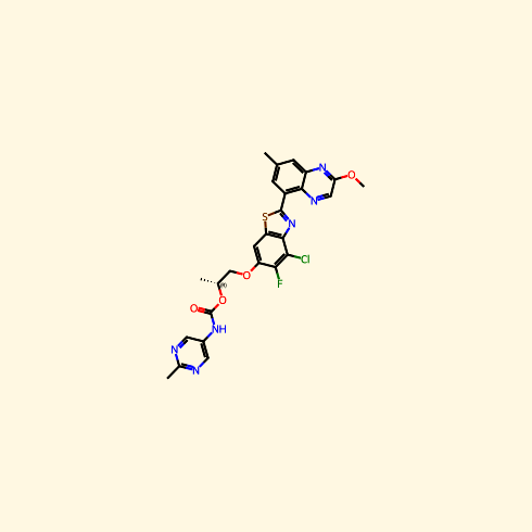 COc1cnc2c(-c3nc4c(Cl)c(F)c(OC[C@@H](C)OC(=O)Nc5cnc(C)nc5)cc4s3)cc(C)cc2n1